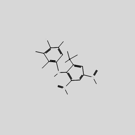 Cc1cc(N(C)c2c([N+](=O)[O-])cc([N+](=O)[O-])cc2C(F)(F)F)c(Cl)c(C)c1Br